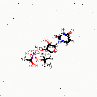 CCC(O)P(=O)(O)OC(C)(CC)C[C@H]1O[C@@H](n2ccc(=O)[nH]c2=O)[C@H](O)[C@@H]1O